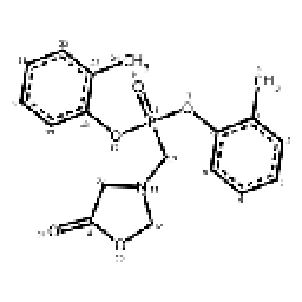 Cc1ccccc1OP(=O)(CN1COC(=O)C1)Oc1ccccc1C